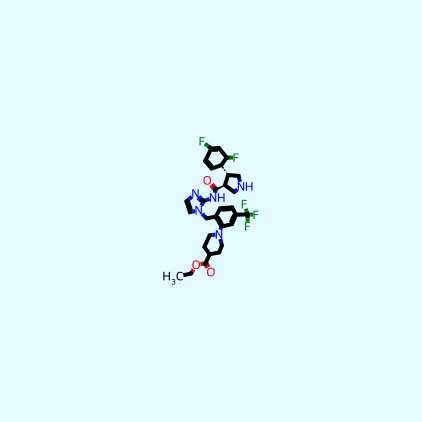 CCOC(=O)C1CCN(c2cc(C(F)(F)F)ccc2Cn2ccnc2NC(=O)[C@@H]2CNC[C@H]2C2C=CC(F)=CC2F)CC1